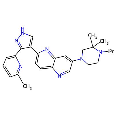 Cc1cccc(-c2n[nH]cc2-c2ccc3ncc(N4CCN(C(C)C)C(C)(C)C4)cc3n2)n1